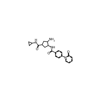 NC1CC(C(=O)NC2CC2)CC1NC(=O)c1ccc(-n2ccccc2=O)cc1